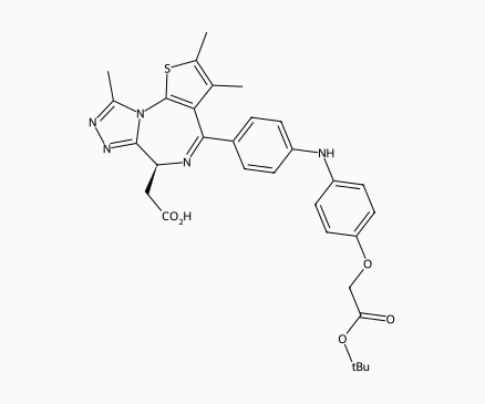 Cc1sc2c(c1C)C(c1ccc(Nc3ccc(OCC(=O)OC(C)(C)C)cc3)cc1)=N[C@@H](CC(=O)O)c1nnc(C)n1-2